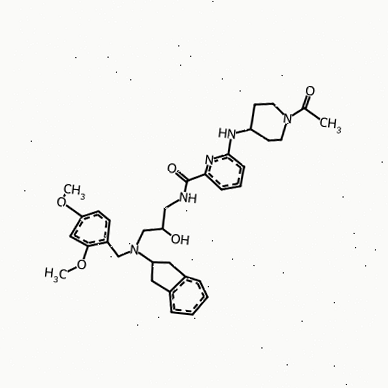 COc1ccc(CN(CC(O)CNC(=O)c2cccc(NC3CCN(C(C)=O)CC3)n2)C2Cc3ccccc3C2)c(OC)c1